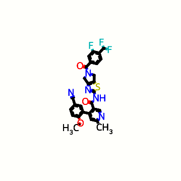 COc1ccc(C#N)cc1-c1cc(C)ncc1C(=O)Nc1nc2c(s1)CN(C(=O)c1ccc(C(F)F)c(F)c1)C2